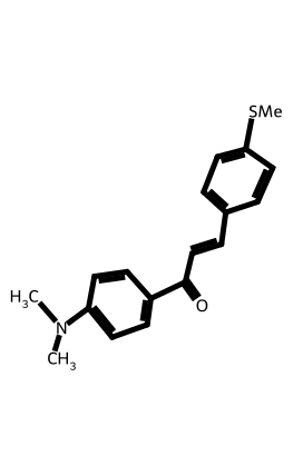 CSc1ccc(/C=C/C(=O)c2ccc(N(C)C)cc2)cc1